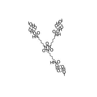 O=C(NCCCCCCn1c(=O)n(CCCCCCNC(=O)O[C@H]2CO[C@@H]3[C@H]2OC[C@H]3OI)c(=O)n(CCCCCCNC(=O)O[C@@H]2CO[C@@H]3[C@H]2OC[C@@H]3OI)c1=O)O[C@H]1CO[C@@H]2[C@H]1OC[C@H]2OI